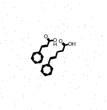 O=C(O)C=Cc1ccccc1.O=C(O)CCC=Cc1ccccc1